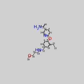 C=C(N)c1ccc(Oc2ccc(CNCCCOC)cc2CC)nc1